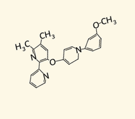 COc1cccc(N2C=CC(Oc3cc(C)c(C)nc3-c3ccccn3)=CC2)c1